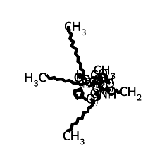 C=CCO[C@H]1O[C@@H]2COC(C)(C)O[C@H]2[C@H](OC(=O)C[C@@H](CCCCCCCCCCC)OC(=O)CCCCCCCCCCCCC)[C@H]1NC(=O)C[C@@H](CCCCCCCCCCC)OCc1ccccc1